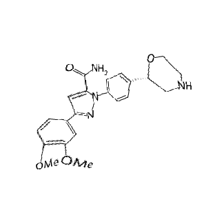 COc1ccc(-c2cc(C(N)=O)n(-c3ccc([C@H]4CNCCO4)cc3)n2)cc1OC